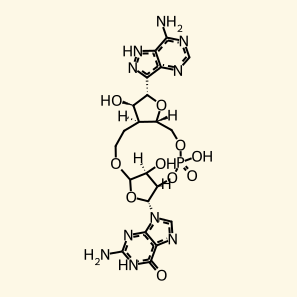 Nc1nc2c(ncn2[C@@H]2OC3OCC[C@H]4[C@@H](O)[C@H](c5n[nH]c6c(N)ncnc56)O[C@@H]4COP(=O)(O)O[C@@H]2[C@@H]3O)c(=O)[nH]1